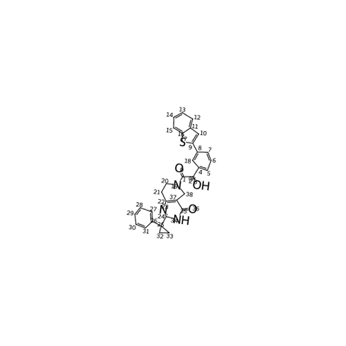 O=C([C@H](O)c1cccc(-c2cc3ccccc3s2)c1)N1CCc2nc(C3(c4ccccc4)CC3)[nH]c(=O)c2C1